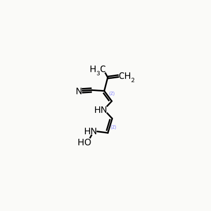 C=C(C)/C(C#N)=C/N/C=C\NO